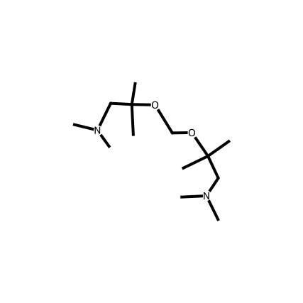 CN(C)CC(C)(C)OCOC(C)(C)CN(C)C